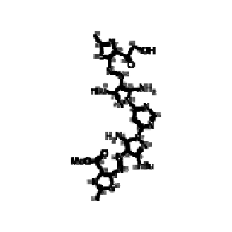 CCCCc1nn(-c2cc(-n3nc(CCCC)c(/N=N/c4sc(C)nc4C(=O)OC)c3N)ncn2)c(N)c1/N=N/c1sc(C)nc1C(=O)CO